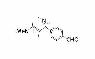 C/N=C(\C(C)=C(/C)NC)c1ccc(C=O)cc1